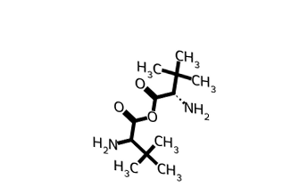 CC(C)(C)C(N)C(=O)OC(=O)[C@@H](N)C(C)(C)C